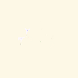 CCN(C(=O)NC(C)C)c1cccc(-c2sc(C(=O)O)c(OCC(=O)O)c2Br)c1